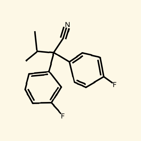 CC(C)C(C#N)(c1ccc(F)cc1)c1cccc(F)c1